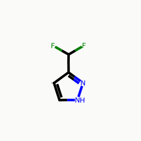 FC(F)c1[c]c[nH]n1